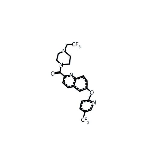 O=C(c1ccc2cc(Oc3ccc(C(F)(F)F)cn3)ccc2n1)N1CCN(CC(F)(F)F)CC1